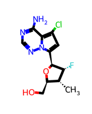 C[C@H]1[C@@H](F)[C@H](c2cc(Cl)c3c(N)ncnn23)O[C@@H]1CO